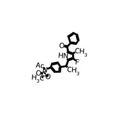 CC(=O)N(c1ccc(C(C)c2[nH]c(C(=O)c3ccccc3)c(C)c2F)cc1)S(C)(=O)=O